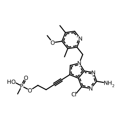 COc1c(C)cnc(Cn2cc(C#CCCOP(C)(=O)O)c3c(Cl)nc(N)nc32)c1C